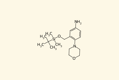 CC(C)(C)[Si](C)(C)OCc1cc(N)ccc1N1CCOCC1